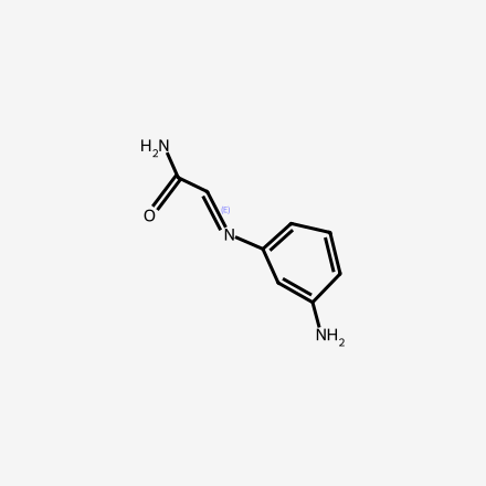 NC(=O)/C=N/c1cccc(N)c1